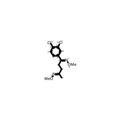 CON=C(C)CCC(=NOC)c1ccc(Cl)c(Cl)c1